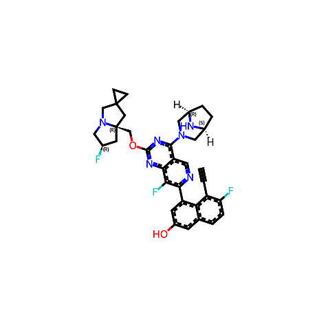 C#Cc1c(F)ccc2cc(O)cc(-c3ncc4c(N5C[C@H]6CC[C@@H](C5)N6)nc(OC[C@@]56C[C@@H](F)CN5CC5(CC5)C6)nc4c3F)c12